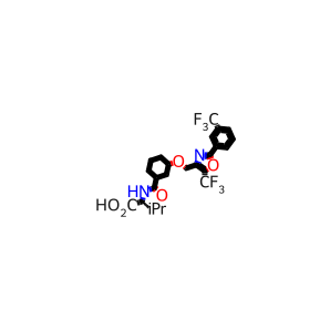 CC(C)[C@H](NC(=O)C1CCCC(OCc2nc(-c3cccc(C(F)(F)F)c3)oc2C(F)(F)F)C1)C(=O)O